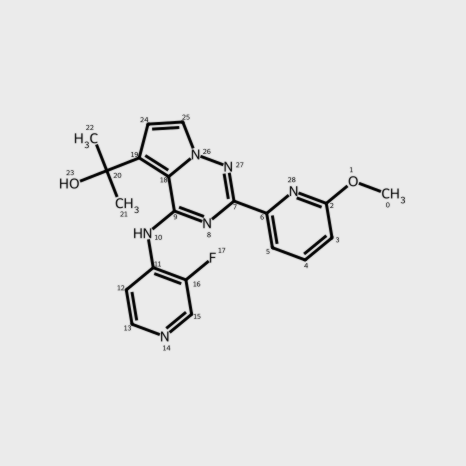 COc1cccc(-c2nc(Nc3ccncc3F)c3c(C(C)(C)O)ccn3n2)n1